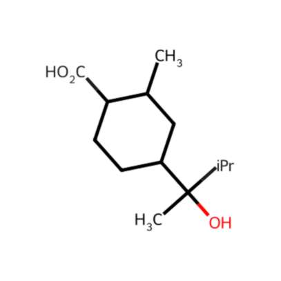 CC1CC(C(C)(O)C(C)C)CCC1C(=O)O